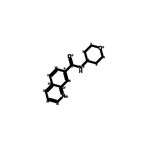 O=C(NC1CCOCC1)c1ccc2cccnc2c1